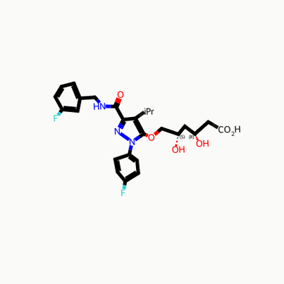 CC(C)c1c(C(=O)NCc2cccc(F)c2)nn(-c2ccc(F)cc2)c1OC[C@@H](O)C[C@@H](O)CC(=O)O